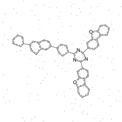 c1ccc(-c2ccc3cc(-c4ccc(-c5nc(-c6ccc7c(c6)oc6ccccc67)nc(-c6ccc7c(c6)oc6ccccc67)n5)cc4)ccc3c2)cc1